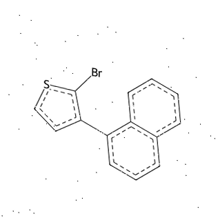 Brc1sccc1-c1cccc2ccccc12